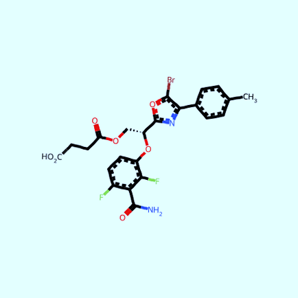 Cc1ccc(-c2nc([C@@H](COC(=O)CCC(=O)O)Oc3ccc(F)c(C(N)=O)c3F)oc2Br)cc1